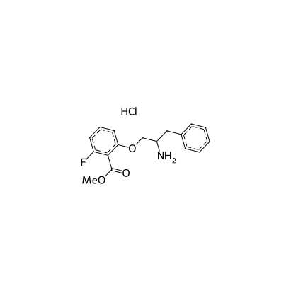 COC(=O)c1c(F)cccc1OCC(N)Cc1ccccc1.Cl